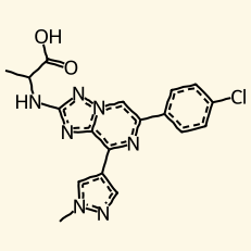 CC(Nc1nc2c(-c3cnn(C)c3)nc(-c3ccc(Cl)cc3)cn2n1)C(=O)O